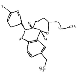 CCc1ccc2c(c1)[C@H]1O[C@@H](CNC)CC[C@H]1[C@H](C1C=CC(F)=CC1)N2